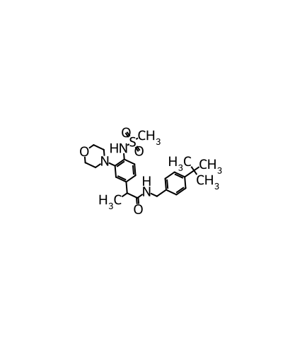 CC(C(=O)NCc1ccc(C(C)(C)C)cc1)c1ccc(NS(C)(=O)=O)c(N2CCOCC2)c1